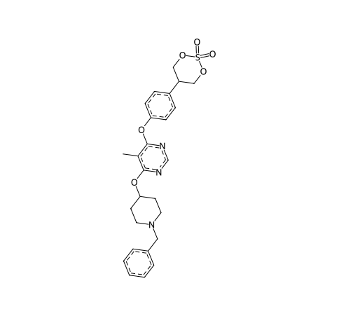 Cc1c(Oc2ccc(C3COS(=O)(=O)OC3)cc2)ncnc1OC1CCN(Cc2ccccc2)CC1